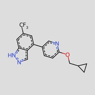 FC(F)(F)c1cc(-c2ccc(OCC3CC3)nc2)c2cn[nH]c2c1